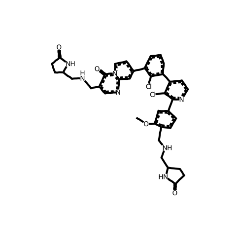 COc1cc(-c2nccc(-c3cccc(-c4ccn5c(=O)c(CNCC6CCC(=O)N6)cnc5c4)c3Cl)c2Cl)ccc1CNCC1CCC(=O)N1